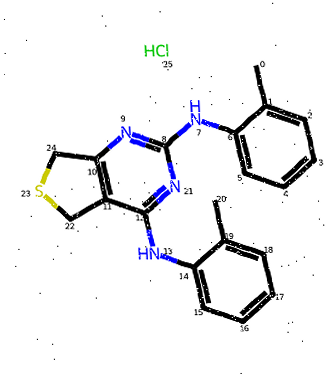 Cc1ccccc1Nc1nc2c(c(Nc3ccccc3C)n1)CSC2.Cl